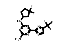 Nc1nc(NC2CCC(F)(F)C2)nc(-c2nc(C(F)(F)F)cs2)n1